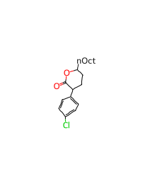 CCCCCCCCC1CCC(c2ccc(Cl)cc2)C(=O)O1